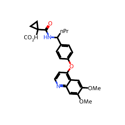 CCCC(NC(=O)C1(C(=O)O)CC1)c1ccc(Oc2ccnc3cc(OC)c(OC)cc23)cc1